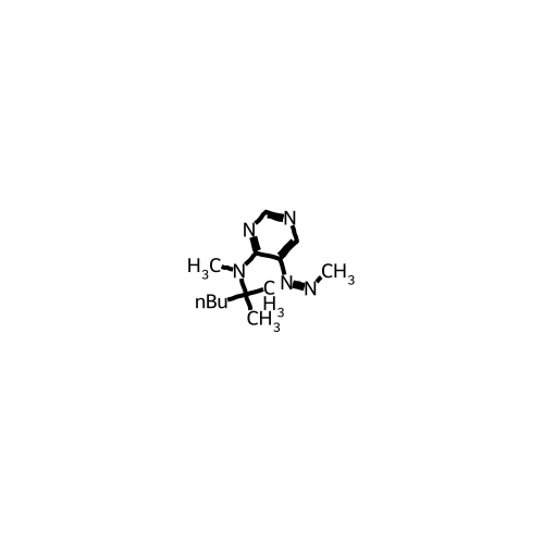 CCCCC(C)(C)N(C)c1ncncc1/N=N\C